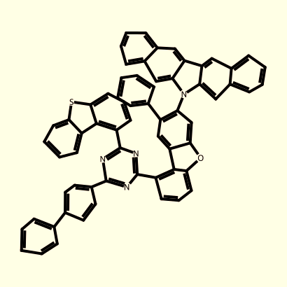 c1ccc(-c2ccc(-c3nc(-c4cccc5oc6cc(-n7c8cc9ccccc9cc8c8cc9ccccc9cc87)c(-c7ccccc7)cc6c45)nc(-c4cccc5sc6ccccc6c45)n3)cc2)cc1